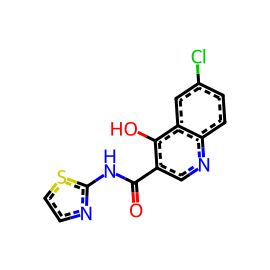 O=C(Nc1nccs1)c1cnc2ccc(Cl)cc2c1O